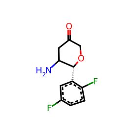 NC1CC(=O)CO[C@@H]1c1cc(F)ccc1F